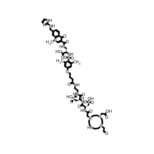 Cc1cc(OCCCC(=O)NCCNC(=O)[C@H](CS(=O)(=O)O)NC(=O)[C@H](CS(=O)(=O)O)NC(=O)CN2CCNCCN(CC=O)CCN(CC(=O)O)CC2)cc(C)c1S(=O)(=O)N[C@@H](CNC(=O)c1cn(C)c2cc(CNc3ncc[nH]3)ccc2c1=O)C(=O)O